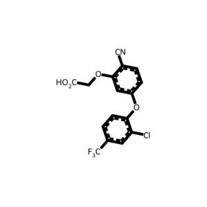 N#Cc1ccc(Oc2ccc(C(F)(F)F)cc2Cl)cc1OCC(=O)O